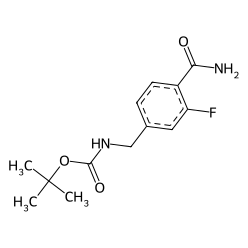 CC(C)(C)OC(=O)NCc1ccc(C(N)=O)c(F)c1